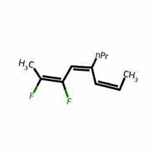 C\C=C/C(=C\C(F)=C(/C)F)CCC